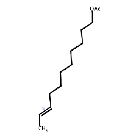 C/C=C/CCCCCCCCOC(C)=O